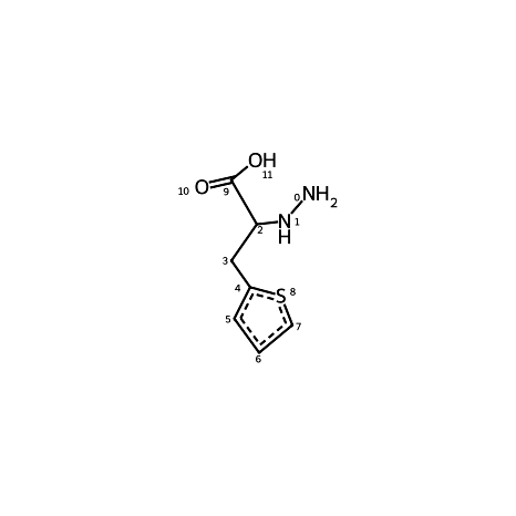 NNC(Cc1cccs1)C(=O)O